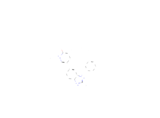 Cc1nc2c(Oc3ccccc3C3COC3)c(-c3cc(C)c(=O)n(C)c3)ccc2[nH]1